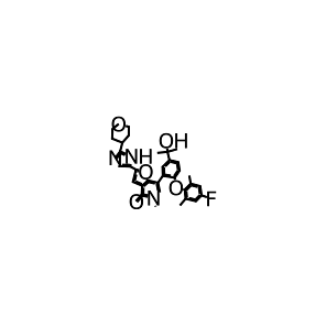 Cc1cc(F)cc(C)c1Oc1ccc(C(C)(C)O)cc1-c1cn(C)c(=O)c2cc(-c3cnc(C4CCOCC4)[nH]3)oc12